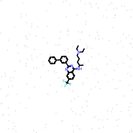 CCN(CC)CCCC(C)Nc1nc(-c2cccc(-c3ccccc3)c2)nc2cc(C(F)(F)F)ccc12